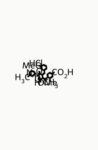 COC(=O)C(C(=Cc1cccc(OC)c1)C(=O)Nc1ccnc(C)c1)=C(C)c1ccc(C(=O)O)cc1.Cl